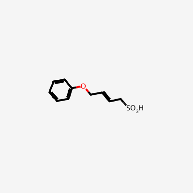 O=S(=O)(O)CC=CCOc1ccccc1